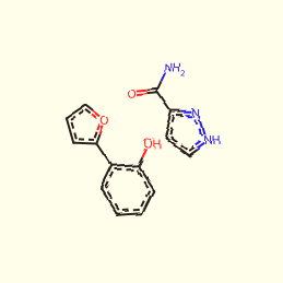 NC(=O)c1cc[nH]n1.Oc1ccccc1-c1ccco1